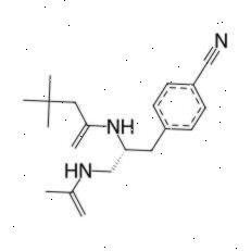 C=C(C)NC[C@@H](Cc1ccc(C#N)cc1)NC(=C)CC(C)(C)C